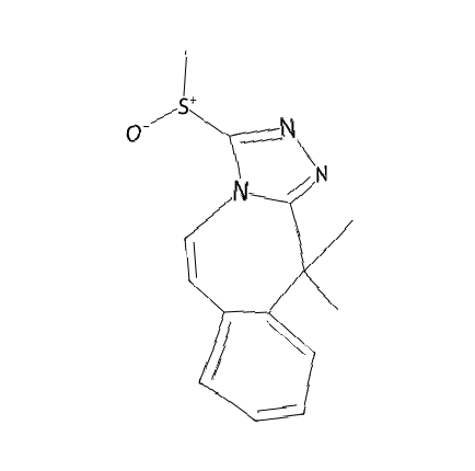 C[S+]([O-])c1nnc2n1C=Cc1ccccc1C2(C)C